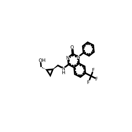 O=c1nc(NC[C@H]2C[C@@H]2CO)c2ccc(C(F)(F)F)cc2n1-c1ccccc1